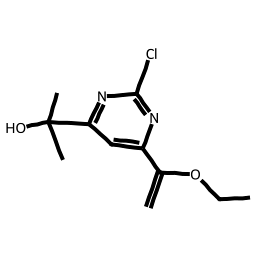 C=C(OCC)c1cc(C(C)(C)O)nc(Cl)n1